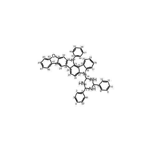 c1ccc(C2NC(c3ccccc3)NC(n3c4ccccc4c4c5c(ccc43)c3cc4c(cc3n5-c3ccccc3)oc3ccccc34)N2)cc1